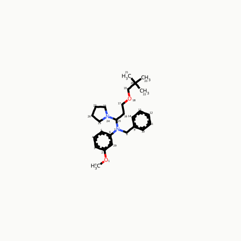 COc1cccc(N(Cc2ccccc2)C(CCOCC(C)(C)C)N2CCCC2)c1